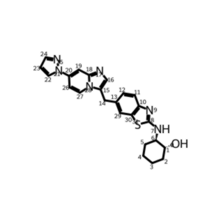 O[C@@H]1CCCC[C@H]1Nc1nc2ccc(Cc3cnc4cc(-n5cccn5)ccn34)cc2s1